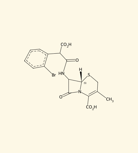 CC1=C(C(=O)O)N2C(=O)C(NC(=O)C(C(=O)O)c3ccccc3Br)[C@@H]2SC1